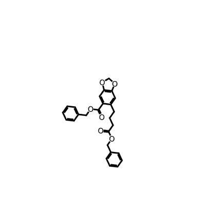 O=C(CCCc1cc2c(cc1C(=O)OCc1ccccc1)OCO2)OCc1ccccc1